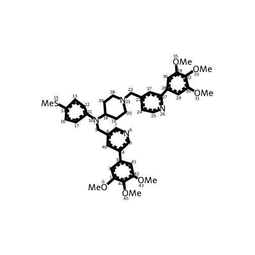 COc1cc(-c2cncc(CN(c3ccc(SC)cc3)C3CCN(Cc4ccnc(-c5cc(OC)c(OC)c(OC)c5)c4)CC3)c2)cc(OC)c1OC